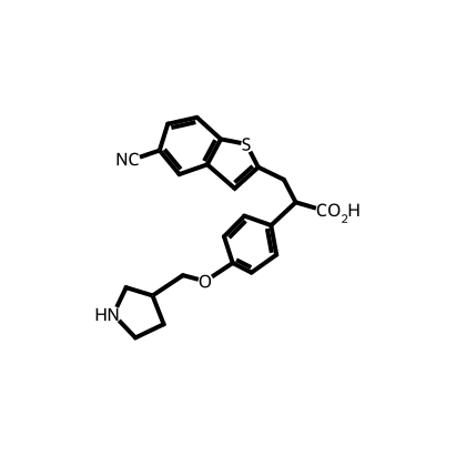 N#Cc1ccc2sc(CC(C(=O)O)c3ccc(OCC4CCNC4)cc3)cc2c1